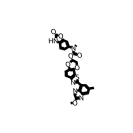 COc1cnc2c(-c3nc4ccc5c(c4s3)OC[C@@H](OC(=O)N(C)c3ccc4[nH]c(=O)oc4c3)O5)cc(C)cc2n1